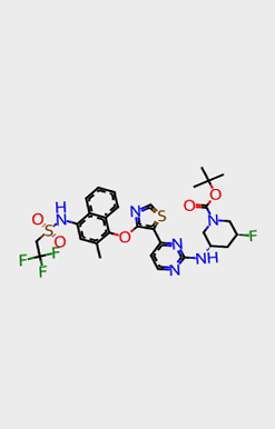 Cc1cc(NS(=O)(=O)CC(F)(F)F)c2ccccc2c1Oc1ncsc1-c1ccnc(N[C@H]2C[C@H](F)CN(C(=O)OC(C)(C)C)C2)n1